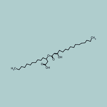 CCCCCCCCCCCCCC(O)=CC(=O)OC(CCCCCCCCCCC)CC(=O)O